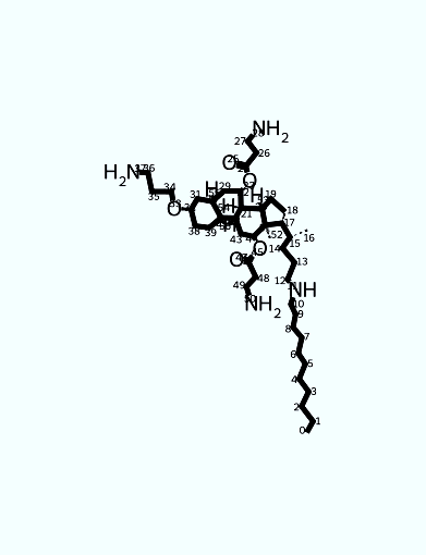 CCCCCCCCCCCNCCC[C@@H](C)[C@H]1CC[C@H]2[C@@H]3[C@H](OC(=O)CCN)C[C@@H]4C[C@H](OCCCN)CC[C@]4(C)[C@H]3C[C@H](OC(=O)CCN)[C@]12C